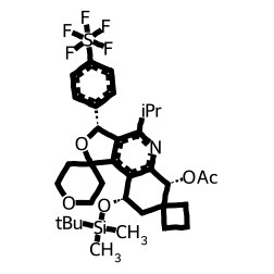 CC(=O)O[C@H]1c2nc(C(C)C)c3c(c2[C@@H](O[Si](C)(C)C(C)(C)C)CC12CCC2)C1(CCOCC1)O[C@@H]3c1ccc(S(F)(F)(F)(F)F)cc1